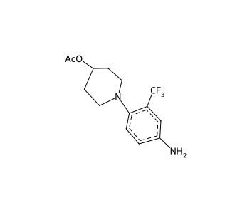 CC(=O)OC1CCN(c2ccc(N)cc2C(F)(F)F)CC1